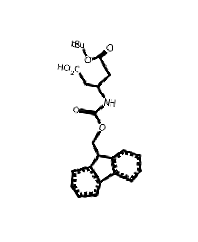 CC(C)(C)OC(=O)CC(CC(=O)O)NC(=O)OCC1c2ccccc2-c2ccccc21